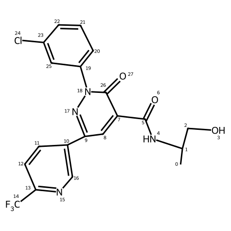 CC(CO)NC(=O)c1cc(-c2ccc(C(F)(F)F)nc2)nn(-c2cccc(Cl)c2)c1=O